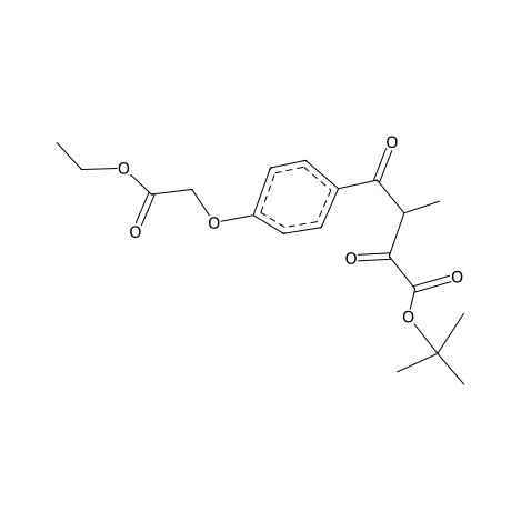 CCOC(=O)COc1ccc(C(=O)C(C)C(=O)C(=O)OC(C)(C)C)cc1